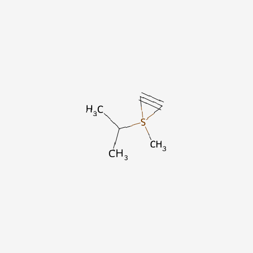 CC(C)S1(C)C#C1